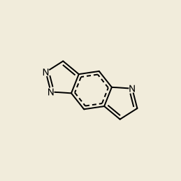 C1=Nc2cc3c(cc2=C1)N=NC=3